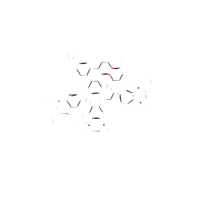 CC(C)(C)c1ccc(-c2cc3c4c(c2)N(c2ccc(F)cc2)c2c(sc5cc6c(cc25)C(C)(C)CCC6(C)C)B4c2cc4c(cc2N3c2ccc3c(c2)C(C)(C)CCC3(C)C)C(C)(C)CCC4(C)C)c(-c2ccccc2)c1